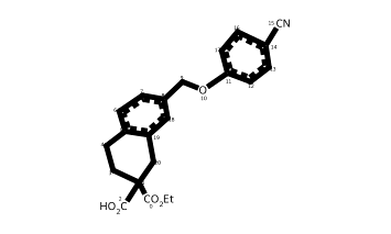 CCOC(=O)C1(C(=O)O)CCc2ccc(COc3ccc(C#N)cc3)cc2C1